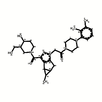 Cc1cccc(N2CCN(C(=O)Cn3nc(C(=O)N4CCC(O)C(CO)C4)c4c3CC3C(C)C43)CC2)c1C